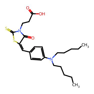 CCCCCN(CCCCC)c1ccc(C=C2SC(=S)N(CCC(=O)O)C2=O)cc1